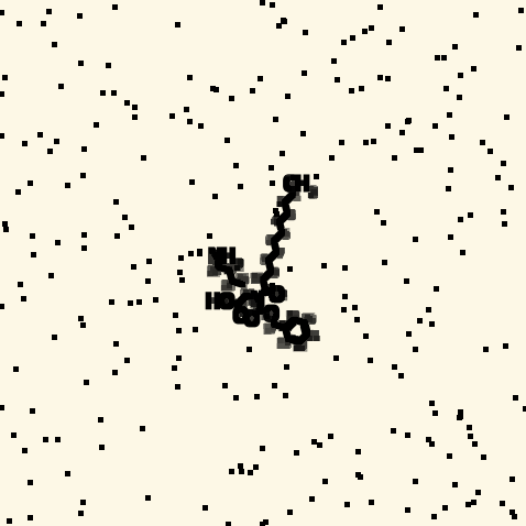 CCCCCCCCCCCC(=O)N(C(=O)OCc1ccccc1)[C@@H](CCCCN)C(=O)O